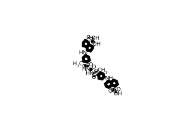 Cc1cc(Nc2ccc(O)c3c(S(=O)(=O)O)cccc23)ccc1S(=O)(=O)NC(=O)NS(=O)(=O)c1ccc(Nc2ccc(O)c3c(S(=O)(=O)O)cccc23)cc1C